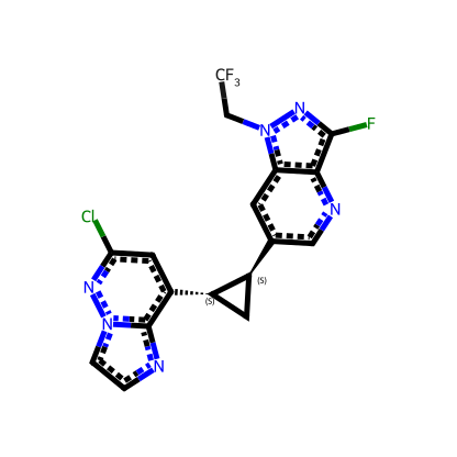 Fc1nn(CC(F)(F)F)c2cc([C@H]3C[C@@H]3c3cc(Cl)nn4ccnc34)cnc12